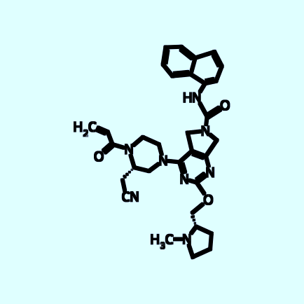 C=CC(=O)N1CCN(c2nc(OC[C@@H]3CCCN3C)nc3c2CN(C(=O)Nc2cccc4ccccc24)C3)C[C@@H]1CC#N